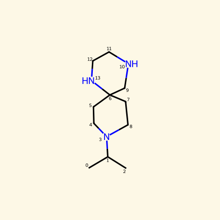 CC(C)N1CCC2(CC1)CNCCN2